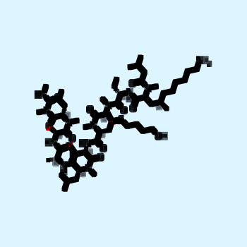 CC[C@H](NC(=O)C(C[C@H](C)CCCCCCN)N(C)C(=O)CC(C)C)C(=O)N(C)[C@H](CSCCCCO)C(=O)N(C)[C@@H](CC(C)C)C(=O)N[C@H](C(=O)N(C)[C@@H](CC(C)C)C(=O)N[C@H](C)C(=O)N[C@@H](C)C(=O)N(C)[C@@H](CC(C)C)C(=O)N(C)C(=O)NC)C(C)C